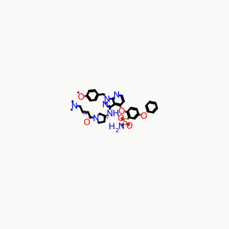 COc1ccc(Cn2nc(N[C@@H]3CCN(C(=O)/C=C/CN(C)C)C3)c3c(Oc4ccc(Oc5ccccc5)cc4S(N)(=O)=O)ccnc32)cc1